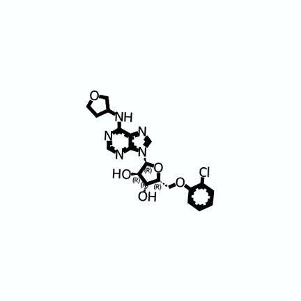 O[C@@H]1[C@@H](O)[C@@H](COc2ccccc2Cl)O[C@H]1n1cnc2c(NC3CCOC3)ncnc21